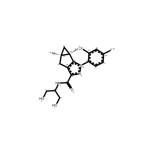 O=C(NC(CO)CO)c1nn(-c2ccc(F)cc2F)c2c1C[C@H]1C[C@@H]21